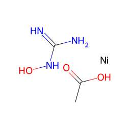 CC(=O)O.N=C(N)NO.[Ni]